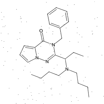 CCCCN(CCCC)C(CC)c1nn2cccc2c(=O)n1Cc1ccccc1